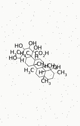 C[C@@H]1CC[C@]2(C)CC[C@]3(C)[C@H](CC[C@@H]4[C@]5(C)[C@@H](CC[C@]43C)C(C)(CO)C(O)C(O)C5(O)C(=O)O)[C@@H]2[C@]1(C)O